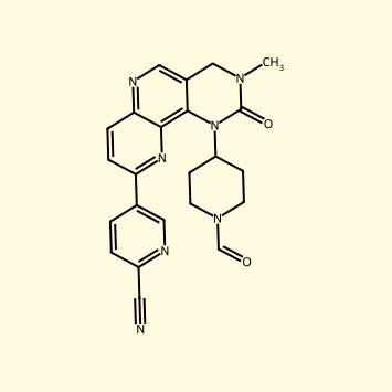 CN1Cc2cnc3ccc(-c4ccc(C#N)nc4)nc3c2N(C2CCN(C=O)CC2)C1=O